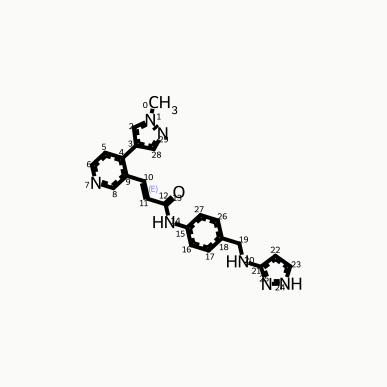 Cn1cc(-c2ccncc2/C=C/C(=O)Nc2ccc(CNc3cc[nH]n3)cc2)cn1